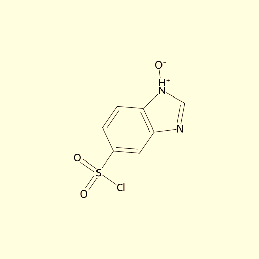 O=S(=O)(Cl)c1ccc2c(c1)N=C[NH+]2[O-]